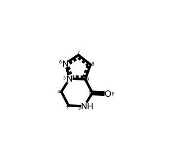 O=C1NCCn2nccc21